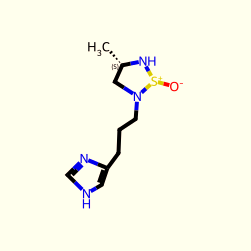 C[C@H]1CN(CCCc2c[nH]cn2)[S+]([O-])N1